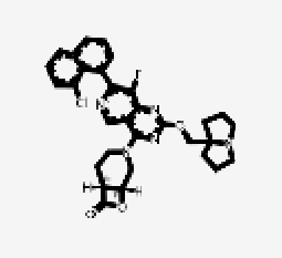 O=C1O[C@H]2CN(c3nc(OCC45CCCN4CCC5)nc4c(F)c(-c5cccc6cccc(Cl)c56)ncc34)CC[C@@H]12